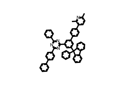 Cc1ccc(-c2ccc(-c3cc(-c4nc(-c5ccccc5)nc(-c5ccc(-c6ccccc6)cc5)n4)cc(C4(c5ccccc5)c5ccccc5-c5ccccc54)c3)cc2)c(C)n1